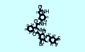 Cc1c(Br)cc(C(=O)NC(C(=O)Nc2ccc3c(c2)CC(=O)N3)c2ccccc2)c(=O)n1Cc1ccc(F)c(F)c1